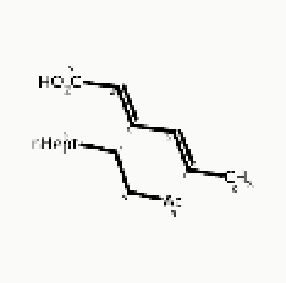 CC=CC=CC(=O)O.CCCCCCCCCC(C)=O